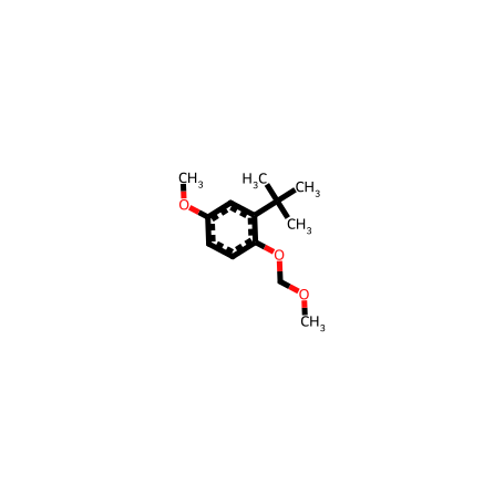 COCOc1ccc(OC)cc1C(C)(C)C